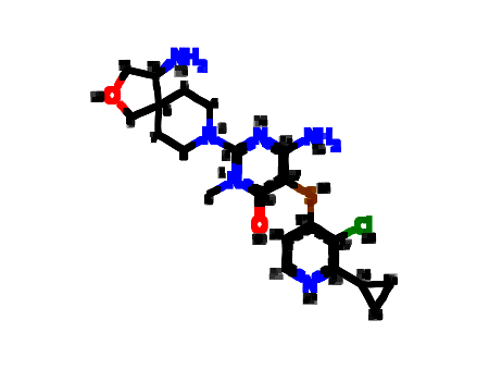 Cn1c(N2CCC3(CC2)COC[C@H]3N)nc(N)c(Sc2ccnc(C3CC3)c2Cl)c1=O